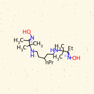 CCCC(CCNC(C)(C)/C(C)=N/O)CCNC(C)(C)/C(CC)=N/O